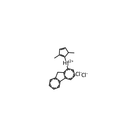 CC1=[C]([Hf+2][c]2cccc3c2Cc2ccccc2-3)C(C)C=C1.[Cl-].[Cl-]